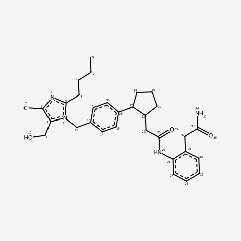 CCCCc1nc(Cl)c(CO)n1Cc1ccc(C2CCCC2CC(=O)Nc2ccccc2CC(N)=O)cc1